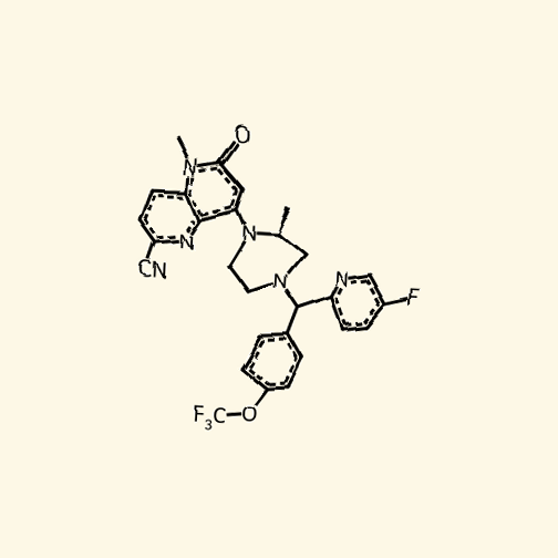 C[C@H]1CN(C(c2ccc(OC(F)(F)F)cc2)c2ccc(F)cn2)CCN1c1cc(=O)n(C)c2ccc(C#N)nc12